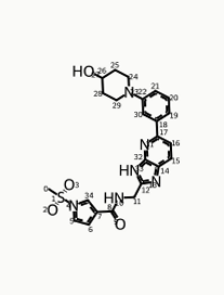 CS(=O)(=O)n1ccc(C(=O)NCc2nc3ccc(-c4cccc(N5CCC(O)CC5)c4)nc3[nH]2)c1